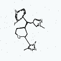 Cc1nnn(C)c1C1CC(C(c2ccncc2F)C2C=NN(C)C2)CCO1